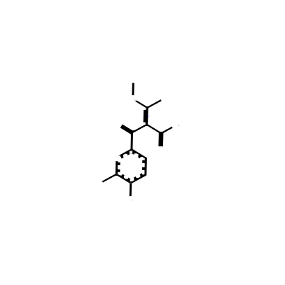 CN/C(C)=C(/C(=O)O)C(=O)c1ccc(Br)c(C)n1